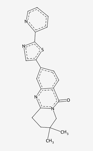 CC1(C)CCc2nc3cc(-c4cnc(-c5ccccn5)s4)ccc3c(=O)n2C1